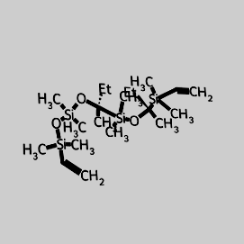 C=C[Si](C)(C)O[Si](C)(C)O[C@@](C)(CC)[Si](C)(C)O[C@](C)(CC)[Si](C)(C)C=C